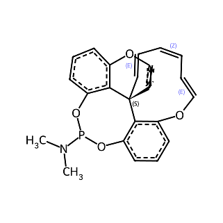 CN(C)P1Oc2cccc3c2[C@]2(/C=C/C=C\C=C\O3)c3ccccc3Oc3cccc(c32)O1